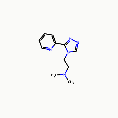 CN(C)CCn1cnnc1-c1ccccn1